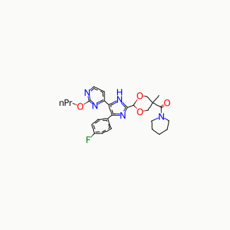 CCCOc1nccc(-c2[nH]c(C3OCC(C)(C(=O)N4CCCCC4)CO3)nc2-c2ccc(F)cc2)n1